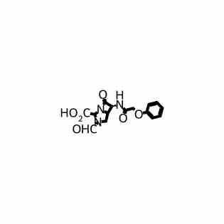 O=CN1CC2[C@H](NC(=O)COc3ccccc3)C(=O)N2C1C(=O)O